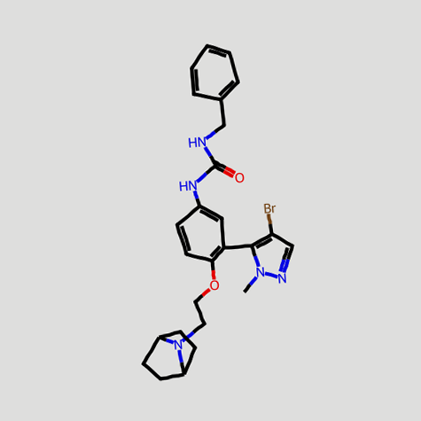 Cn1ncc(Br)c1-c1cc(NC(=O)NCc2ccccc2)ccc1OCCN1C2CCC1CC2